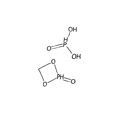 O=[PH](O)O.O=[PH]1OCO1